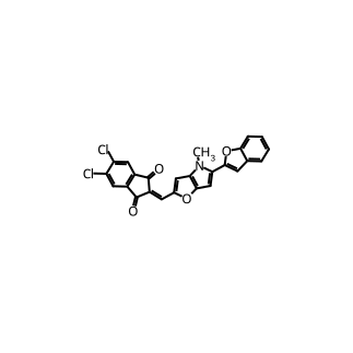 Cn1c(-c2cc3ccccc3o2)cc2oc(C=C3C(=O)c4cc(Cl)c(Cl)cc4C3=O)cc21